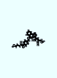 COCCCNC(=O)c1ccc(COc2nn3c(C(=N)/C=C(\O)COC)nnc3c3ccccc23)nc1